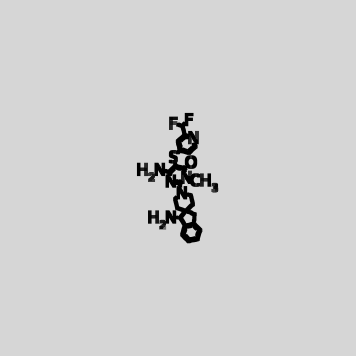 Cn1c(N2CCC3(CC2)Cc2ccccc2[C@H]3N)nc(N)c(Sc2ccnc(C(F)F)c2)c1=O